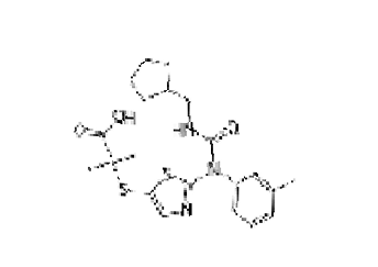 Cc1cccc(N(C(=O)NCC2CCCC2)c2ncc(SC(C)(C)C(=O)O)s2)c1